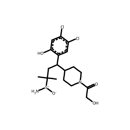 CC(C)(CC(c1cc(Cl)c(Cl)cc1O)C1CCN(C(=O)CO)CC1)[S+](N)[O-]